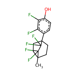 CC12CCC(c3ccc(O)c(F)c3F)(CC1)C(F)(F)C2(F)F